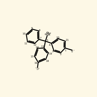 [CH2]c1ccc(C(Br)(c2ccccc2)c2ccc([CH2])cc2)cc1